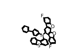 Fc1ccc2oc3c(cc(N(c4ccc(-c5ccccc5)cc4)c4cccc5sc6ccccc6c45)c4c5cc(F)ccc5oc34)c2c1